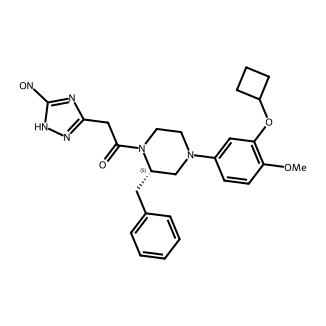 COc1ccc(N2CCN(C(=O)Cc3n[nH]c(N=O)n3)[C@@H](Cc3ccccc3)C2)cc1OC1CCC1